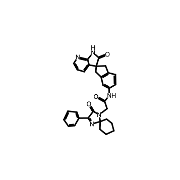 O=C(CN1C(=O)C(c2ccccc2)=NC12CCCCC2)Nc1ccc2c(c1)CC1(C2)C(=O)Nc2ncccc21